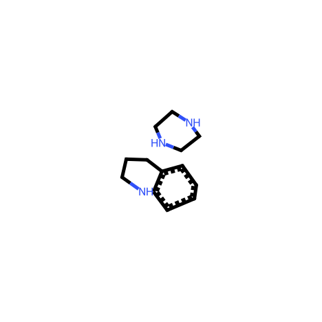 C1CNCCN1.c1ccc2c(c1)CCCN2